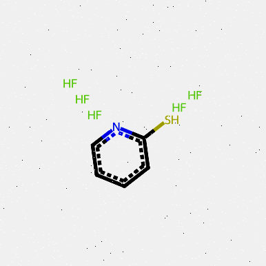 F.F.F.F.F.Sc1ccccn1